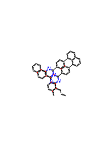 C=C/C=C(\C=C)c1nc(-c2ccccc2)nc(-c2ccc(-c3cccc4cccc(-c5ccc(-c6nc(-c7ccccc7)cc(-c7ccccc7)n6)cc5)c34)cc2)n1